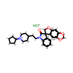 Cl.O=C1N(CCC2CCN(C3CCCC3)CC2)c2ccccc2C12COc1cc3c(cc12)OCO3